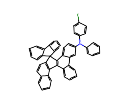 Fc1ccc(N(c2ccccc2)c2ccc3c4c(c5ccccc5c3c2)-c2c(ccc3ccccc23)C42c3ccccc3-c3ccccc32)cc1